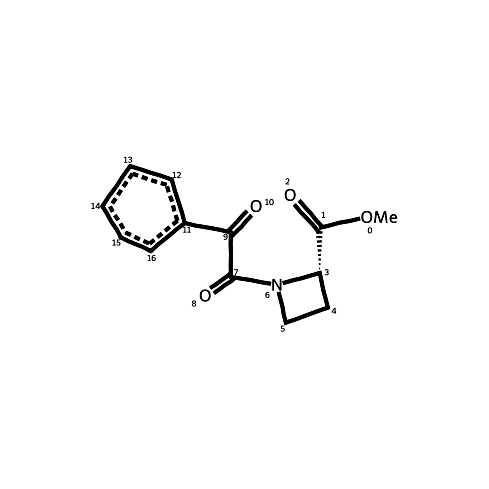 COC(=O)[C@@H]1CCN1C(=O)C(=O)c1ccccc1